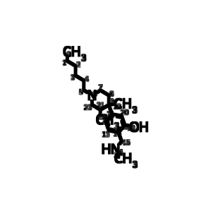 CCCCCCN1CCC(C)(c2ccc(CNC)c(O)c2)C(C)C1